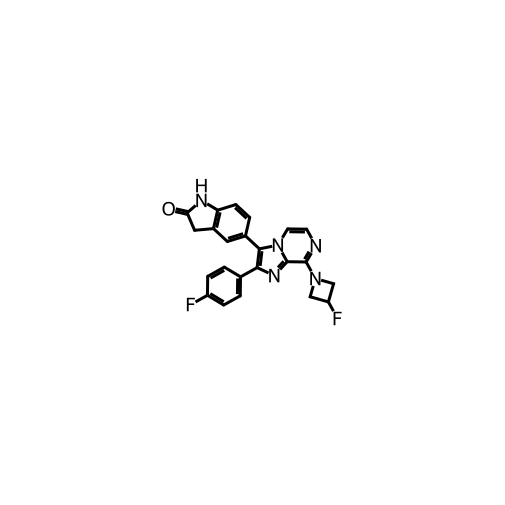 O=C1Cc2cc(-c3c(-c4ccc(F)cc4)nc4c(N5CC(F)C5)nccn34)ccc2N1